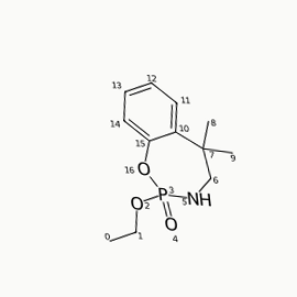 CCOP1(=O)NCC(C)(C)c2ccccc2O1